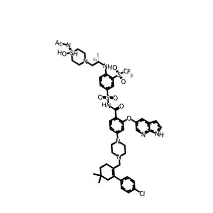 CC(=O)N=[SH]1(O)CCN(C[C@H](C)Nc2ccc(S(=O)(=O)NC(=O)c3ccc(N4CCN(CC5=C(c6ccc(Cl)cc6)CC(C)(C)CC5)CC4)cc3Oc3cnc4[nH]ccc4c3)cc2S(=O)(=O)C(F)(F)F)CC1